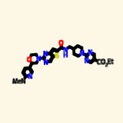 CCOC(=O)c1cnc(N2CCC(CNC(=O)c3cc4nc(N5CCOC(c6ccc(NC)nc6)C5)ncc4s3)CC2)nc1